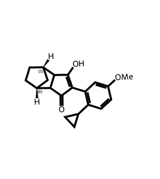 COc1ccc(C2CC2)c(C2=C(O)C3C(C2=O)[C@@H]2CC[C@H]3C2)c1